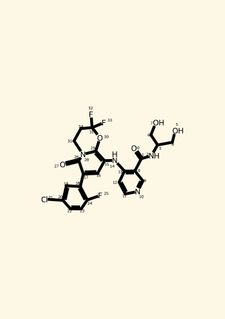 O=C(NC(CO)CO)c1cnccc1Nc1cc(-c2cc(Cl)ccc2F)c(=O)n2c1OC(F)(F)CC2